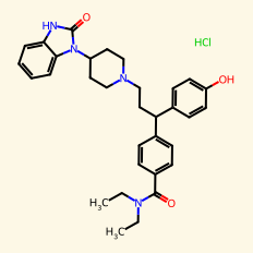 CCN(CC)C(=O)c1ccc(C(CCN2CCC(n3c(=O)[nH]c4ccccc43)CC2)c2ccc(O)cc2)cc1.Cl